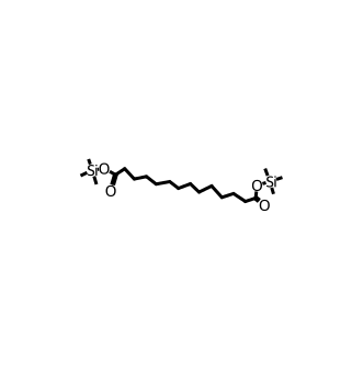 C[Si](C)(C)OC(=O)CCCCCCCCCCCCC(=O)O[Si](C)(C)C